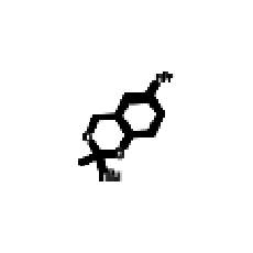 CCCCC1(C)OCC2C=C(CCC)CCC2O1